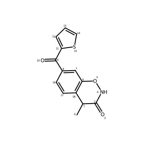 CC1C(=O)NOc2cc(C(=O)c3cccs3)ccc21